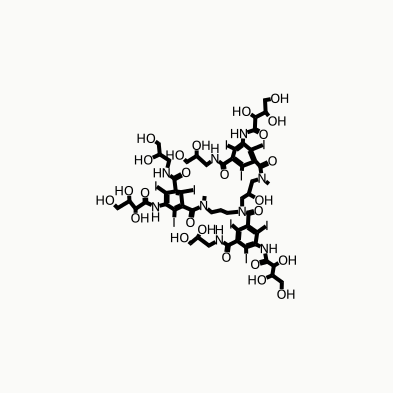 CN(CCCN(CC(O)CN(C)C(=O)c1c(I)c(NC(=O)C(O)C(O)CO)c(I)c(C(=O)NCC(O)CO)c1I)C(=O)c1c(I)c(NC(=O)C(O)C(O)CO)c(I)c(C(=O)NCC(O)CO)c1I)C(=O)c1c(I)c(NC(=O)C(O)C(O)CO)c(I)c(C(=O)NCC(O)CO)c1I